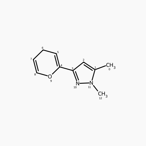 Cc1cc(C2=CCC=CO2)nn1C